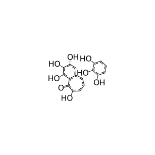 O=c1c(O)cccc2cc(O)c(O)c(O)c12.Oc1cccc(O)c1O